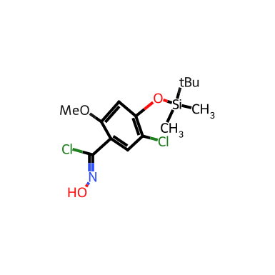 COc1cc(O[Si](C)(C)C(C)(C)C)c(Cl)cc1/C(Cl)=N/O